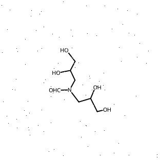 O=CN(CC(O)CO)CC(O)CO